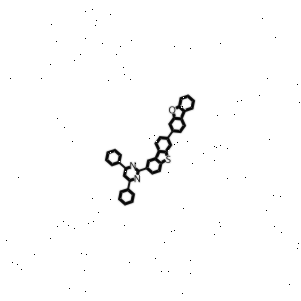 c1ccc(-c2cc(-c3ccccc3)nc(-c3ccc4sc5cc(-c6ccc7c(c6)oc6ccccc67)ccc5c4c3)n2)cc1